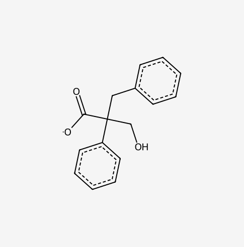 [O]C(=O)C(CO)(Cc1ccccc1)c1ccccc1